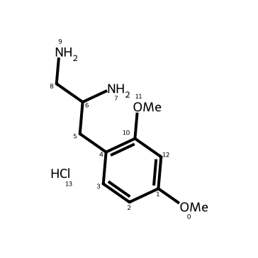 COc1ccc(CC(N)CN)c(OC)c1.Cl